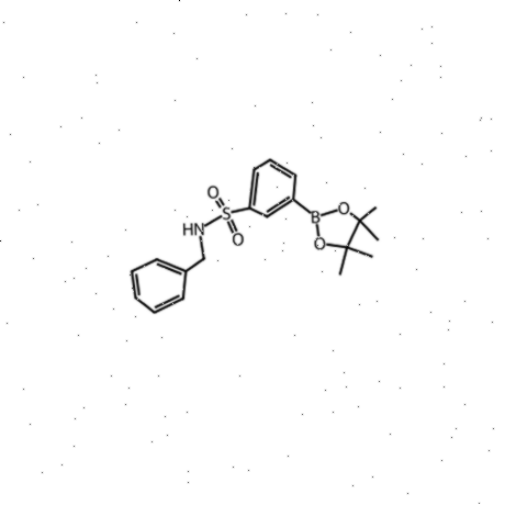 CC1(C)OB(c2cccc(S(=O)(=O)NCc3ccccc3)c2)OC1(C)C